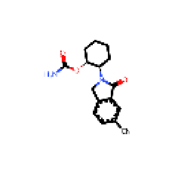 N#Cc1ccc2c(c1)C(=O)N([C@@H]1CCCC[C@H]1OC(N)=O)C2